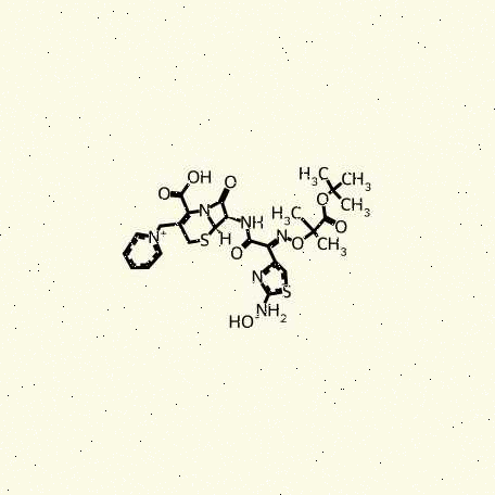 CC(C)(C)OC(=O)C(C)(C)ON=C(C(=O)N[C@@H]1C(=O)N2C(C(=O)O)=C(C[n+]3ccccc3)CS[C@H]12)c1csc(N)n1.[OH-]